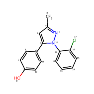 Oc1ccc(-c2cc(C(F)(F)F)nn2-c2ccccc2Cl)cc1